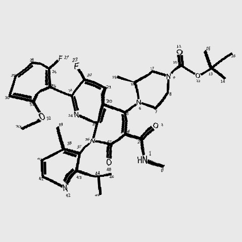 CNC(=O)c1c(N2CCN(C(=O)OC(C)(C)C)C[C@@H]2C)c2cc(F)c(-c3c(F)cccc3OC)nc2n(-c2c(C)ccnc2C(C)C)c1=O